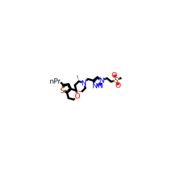 CCCc1cc2c(s1)CCO[C@@]21CCN(Cc2cn(CCS(C)(=O)=O)nn2)[C@@H](C)C1